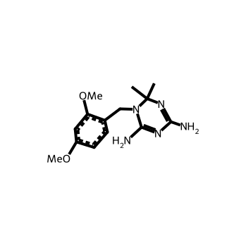 COc1ccc(CN2C(N)=NC(N)=NC2(C)C)c(OC)c1